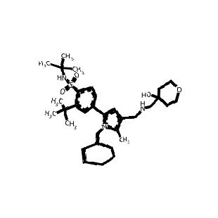 Cc1c(CNCC2(O)CCOCC2)cc(-c2ccc(S(=O)(=O)NC(C)(C)C)c(C(C)(C)C)c2)n1CC1CCCCC1